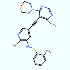 Cc1ccccc1SNc1cc(C#Cc2c(C)ncnc2N2CCOCC2)cnc1C